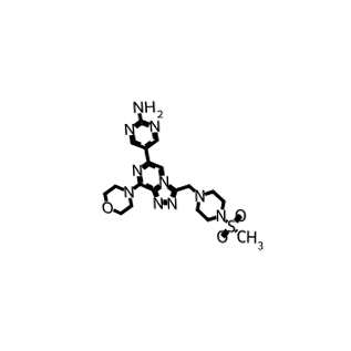 CS(=O)(=O)N1CCN(Cc2nnc3c(N4CCOCC4)nc(-c4cnc(N)nc4)cn23)CC1